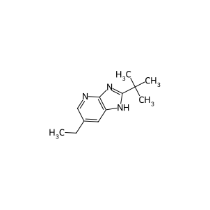 CCc1cnc2nc(C(C)(C)C)[nH]c2c1